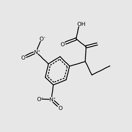 C=C(C(=O)O)C(CC)c1cc([N+](=O)[O-])cc([N+](=O)[O-])c1